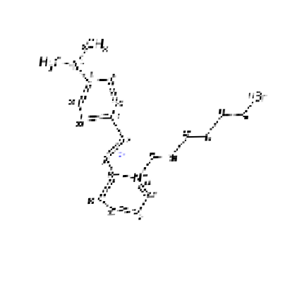 CN(C)c1ccc(/C=C/c2cccc[n+]2CCCCCCBr)cc1